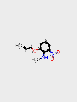 C=CCOc1cccc([N+](=O)[O-])c1NC